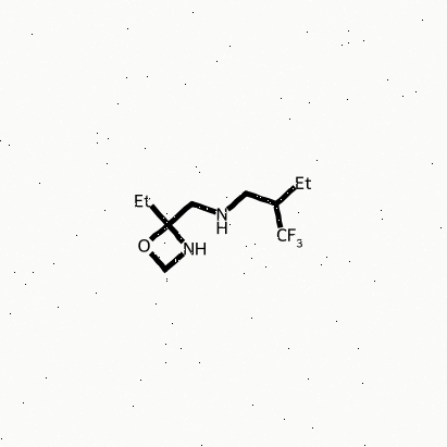 CCC(CNCC1(CC)NCO1)C(F)(F)F